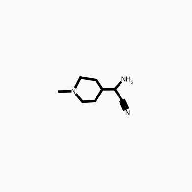 CN1CCC(C(N)C#N)CC1